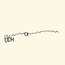 CCCCCCCCCCCCCCCCOCCCCCCCCCC1(O)CCCO1